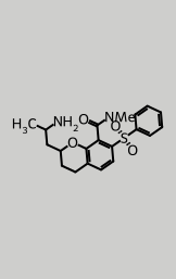 CNC(=O)c1c(S(=O)(=O)c2ccccc2)ccc2c1OC(CC(C)N)CC2